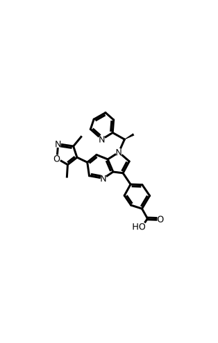 Cc1noc(C)c1-c1cnc2c(-c3ccc(C(=O)O)cc3)cn([C@H](C)c3ccccn3)c2c1